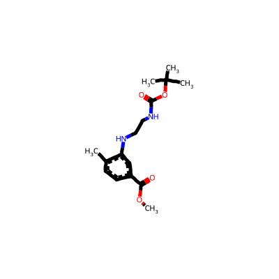 COC(=O)c1ccc(C)c(NCCNC(=O)OC(C)(C)C)c1